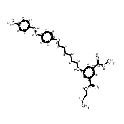 COCOC(=O)c1cc(OCCCCCCOc2ccc(/N=N/c3ccc(C)cc3)cc2)cc(C(=O)OC)c1